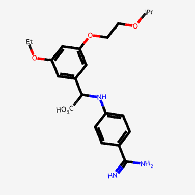 CCOc1cc(OCCOC(C)C)cc(C(Nc2ccc(C(=N)N)cc2)C(=O)O)c1